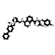 COC1(Cn2cncc2CNC2CCOc3c(C(=O)N[C@@H](Cc4ccc(Cl)cc4)C(N)=O)cccc32)C=CC(c2ccccc2)=CC1